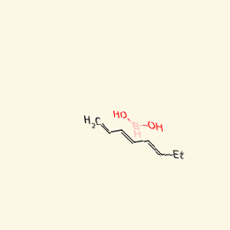 C=CC=CC=CCC.OBO